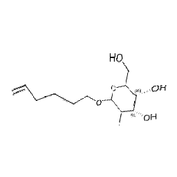 C=CCCCCOC1OC(CO)[C@H](O)[C@H](O)C1C